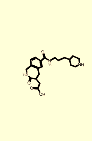 O=C(O)CC1Cc2cc(C(=O)NCCCC3CCNCC3)ccc2CNC1=O